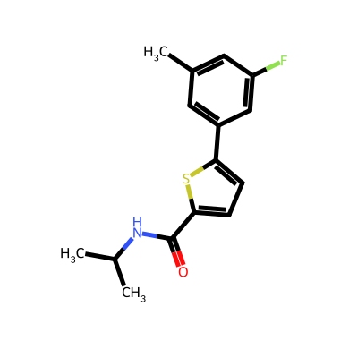 Cc1cc(F)cc(-c2ccc(C(=O)NC(C)C)s2)c1